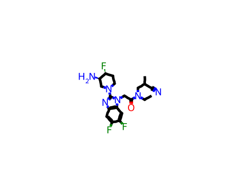 CCN(CC(C)C#N)C(=O)Cn1c(N2CC[C@@H](F)[C@H](N)C2)nc2cc(F)c(F)cc21